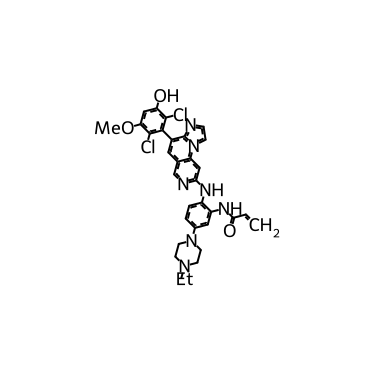 C=CC(=O)Nc1cc(N2CCN(CC)CC2)ccc1Nc1cc2c(cn1)cc(-c1c(Cl)c(O)cc(OC)c1Cl)c1nccn12